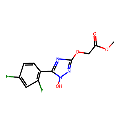 COC(=O)COc1nc(-c2ccc(F)cc2F)n(O)n1